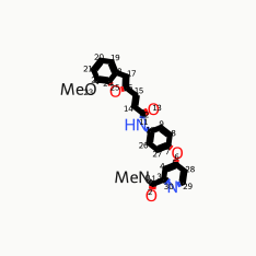 CNC(=O)c1cc(Oc2ccc(NC(=O)C=Cc3cc4cccc(OC)c4o3)cc2)ccn1